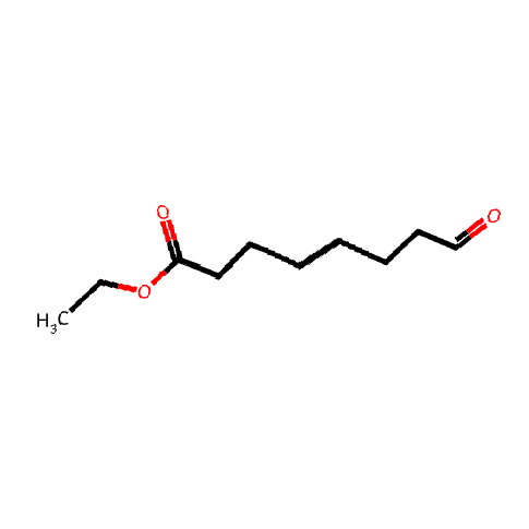 CCOC(=O)CCCCCCC=O